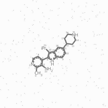 Cc1nccc(-c2[nH]c3ccc(C4CCNCC4)cc3c2C(C)C)c1N